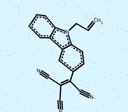 C=CCn1c2ccccc2c2cc(C(C#N)=C(C#N)C#N)ccc21